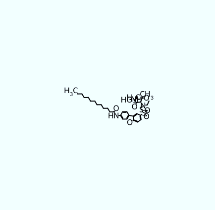 CCCCCCCCCCCCC(=O)Nc1ccc2c(c1)oc1ccc(S(=O)(=O)SN3CCOC(C)(C)C3C(=O)NO)cc12